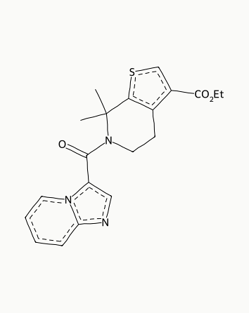 CCOC(=O)c1csc2c1CCN(C(=O)c1cnc3ccccn13)C2(C)C